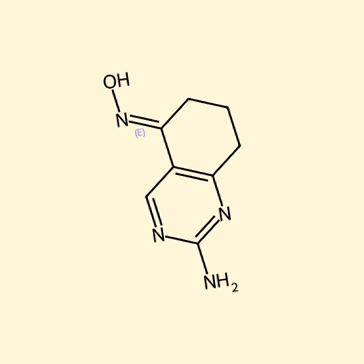 Nc1ncc2c(n1)CCC/C2=N\O